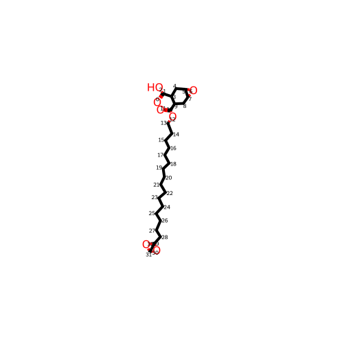 O=C(O)C1CC2OC2CC1C(=O)OCCCCCCCCCCCCCCCCC12OC1O2